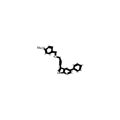 COc1ccc(COCC#Cc2c[nH]c3ncc(-c4ccccc4)cc23)cc1